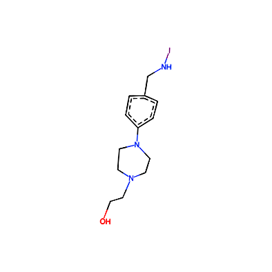 OCCN1CCN(c2ccc(CNI)cc2)CC1